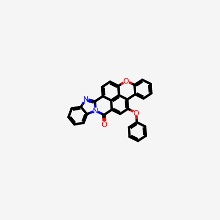 O=c1c2cc(Oc3ccccc3)c3c4ccccc4oc4ccc(c2c43)c2nc3ccccc3n12